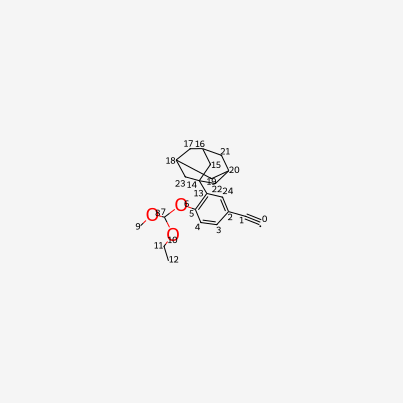 [C]#Cc1ccc(OC(OC)OCC)c(C23CC4CC(CC(C4)C2)C3)c1